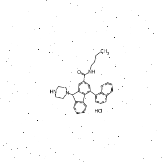 CCCCNC(=O)c1cc(-c2cccc3ccccc23)c2c(c1)C(N1CCNCC1)c1ccccc1-2.Cl